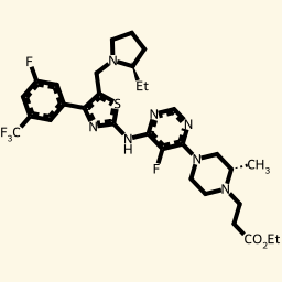 CCOC(=O)CCN1CCN(c2ncnc(Nc3nc(-c4cc(F)cc(C(F)(F)F)c4)c(CN4CCC[C@H]4CC)s3)c2F)C[C@@H]1C